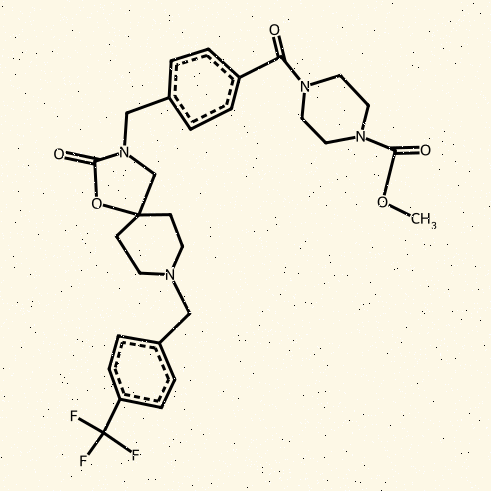 COC(=O)N1CCN(C(=O)c2ccc(CN3CC4(CCN(Cc5ccc(C(F)(F)F)cc5)CC4)OC3=O)cc2)CC1